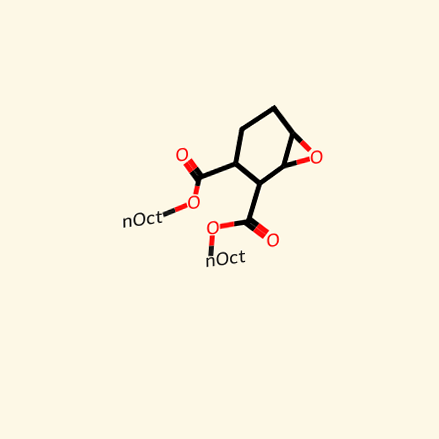 CCCCCCCCOC(=O)C1CCC2OC2C1C(=O)OCCCCCCCC